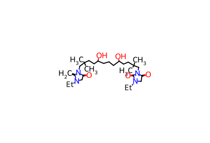 C=C1N(CC)CC(=O)N1CC(C)(C)CCC(O)CCCC(O)CCC(C)(C)CN1C(=O)CN(CC)C1=O